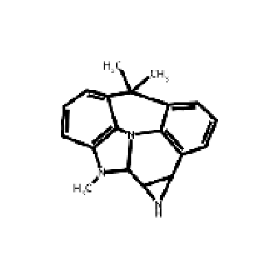 CN1c2cccc3c2N2c4c(cccc4C3(C)C)C3NC3C12